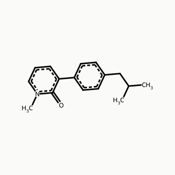 CC(C)Cc1ccc(-c2cccn(C)c2=O)cc1